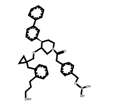 COCCCc1ccccc1CC1(COC2CN(C(=O)Cc3ccc(CON(O)O)cc3)CC[C@@H]2c2cccc(-c3ccccc3)c2)CC1